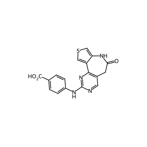 O=C1Cc2cnc(Nc3ccc(C(=O)O)cc3)nc2-c2cscc2N1